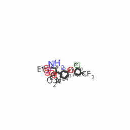 CCOP(=O)(OCC)C(N)CC(=O)c1cc(Oc2ccc(C(F)(F)F)cc2Cl)ccc1[N+](=O)[O-]